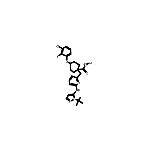 CC(C)(C)n1nccc1Nc1cccc(CC2(C(=O)NN)CCC(Oc3cccc(Cl)c3F)CC2)n1